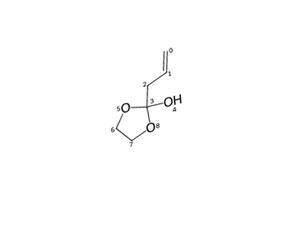 C=CCC1(O)OCCO1